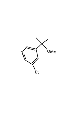 CCc1cncc(C(C)(C)OC)c1